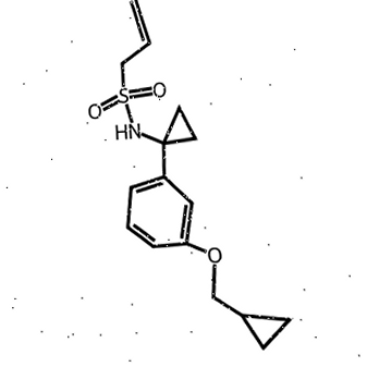 C=CCS(=O)(=O)NC1(c2cccc(OCC3CC3)c2)CC1